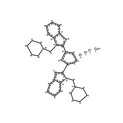 [Cl-].[Cl-].[Cl-].[Co+3].c1cc(-c2nc3ccccc3n2CN2CCCCC2)nc(-c2nc3ccccc3n2CN2CCCCC2)c1